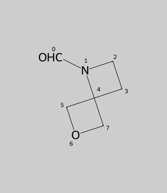 O=CN1CCC12COC2